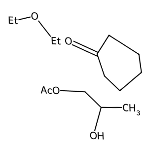 CC(=O)OCC(C)O.CCOCC.O=C1CCCCC1